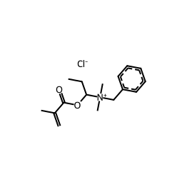 C=C(C)C(=O)OC(CC)[N+](C)(C)Cc1ccccc1.[Cl-]